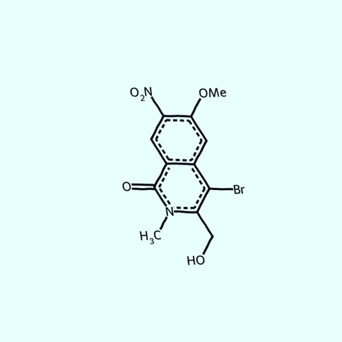 COc1cc2c(Br)c(CO)n(C)c(=O)c2cc1[N+](=O)[O-]